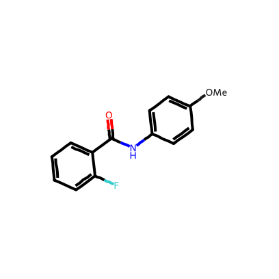 COc1ccc(NC(=O)c2ccccc2F)cc1